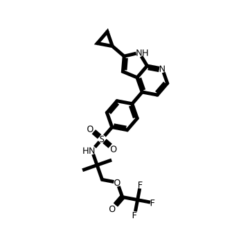 CC(C)(COC(=O)C(F)(F)F)NS(=O)(=O)c1ccc(-c2ccnc3[nH]c(C4CC4)cc23)cc1